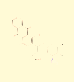 CC(=O)[C@]1(O)Cc2c(O)c3c(c(O)c2[C@@H](O[C@H]2C[C@H](N)[C@H](C)[C@H](C)O2)C1)C(=O)c1ccccc1C3=O